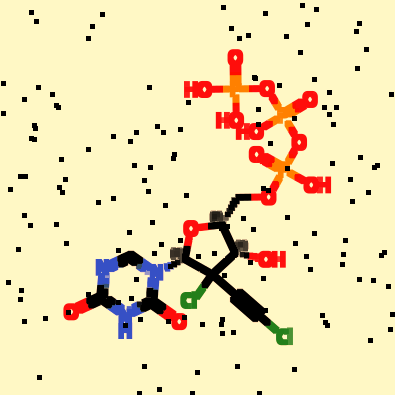 O=c1ncn([C@@H]2O[C@H](COP(=O)(O)OP(=O)(O)OP(=O)(O)O)[C@H](O)C2(Cl)C#CCl)c(=O)[nH]1